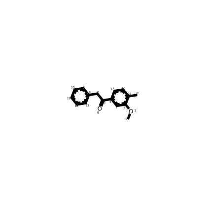 COc1cc(C(=O)Cc2ccccc2)ccc1C